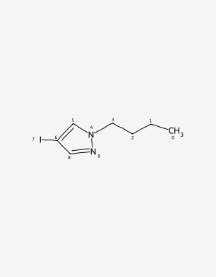 CCCCn1cc(I)cn1